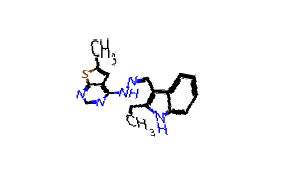 CCc1[nH]c2ccccc2c1/C=N\Nc1ncnc2sc(C)cc12